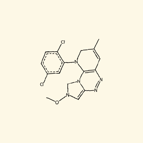 CON1C=C2N=NC3=C(N2C1)N(c1cc(Cl)ccc1Cl)CC(C)=C3